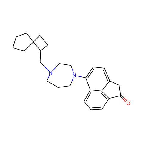 O=C1Cc2ccc(N3CCCN(CC4CCC45CCCC5)CC3)c3cccc1c23